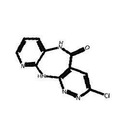 O=C1Nc2cccnc2Nc2nnc(Cl)cc21